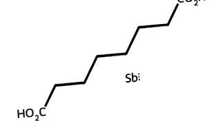 O=C(O)CCCCCCC(=O)O.[Sb]